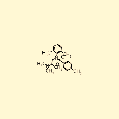 Cc1ccc(S(=O)(=O)N(CC(C)N(C)C)c2c(C)cccc2C)cc1